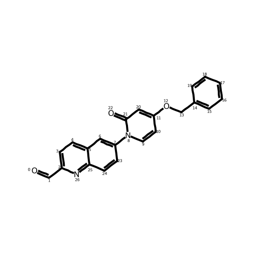 O=Cc1ccc2cc(-n3ccc(OCc4ccccc4)cc3=O)ccc2n1